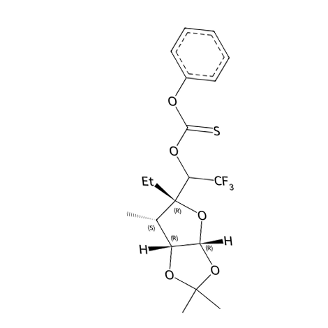 CC[C@@]1(C(OC(=S)Oc2ccccc2)C(F)(F)F)O[C@@H]2OC(C)(C)O[C@@H]2[C@@H]1C